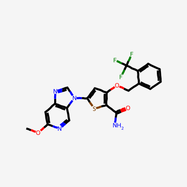 COc1cc2ncn(-c3cc(OCc4ccccc4C(F)(F)F)c(C(N)=O)s3)c2cn1